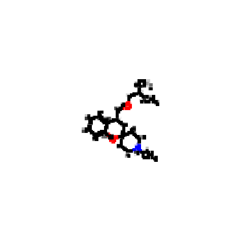 CC(C)COCC1CC2(CCN(C)CC2)Oc2ccccc21